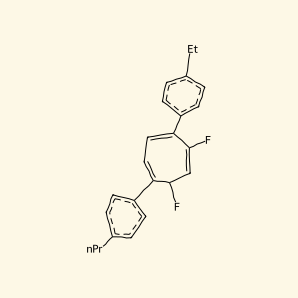 CCCc1ccc(C2=CC=C(c3ccc(CC)cc3)C(F)=CC2F)cc1